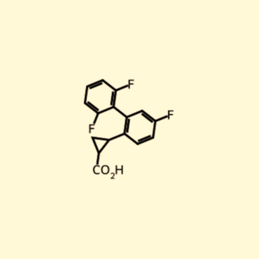 O=C(O)C1CC1c1ccc(F)cc1-c1c(F)cccc1F